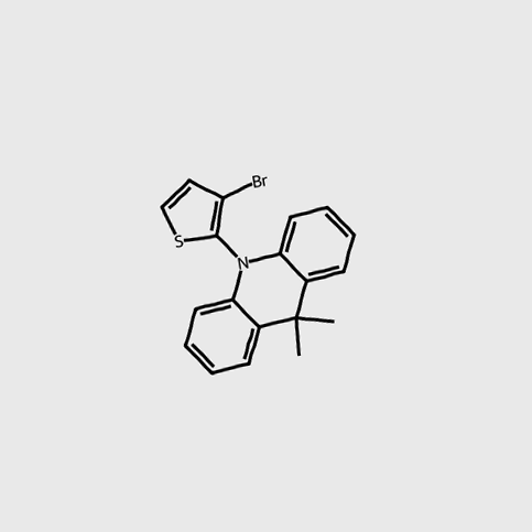 CC1(C)c2ccccc2N(c2sccc2Br)c2ccccc21